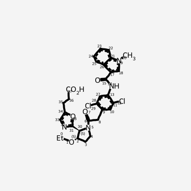 CCO[C@H]1CCN(C(=O)Cc2cc(Cl)c(NC(=O)c3cn(C)c4ccccc34)cc2Cl)[C@@H]1c1ncc(CCC(=O)O)o1